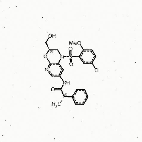 COc1ccc(Cl)cc1S(=O)(=O)N1C[C@H](CO)Oc2ncc(NC(=O)[C@@H](C)c3ccccc3)cc21